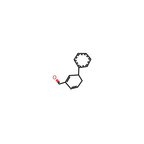 O=CC1=CC(c2ccccc2)CC=[C]1